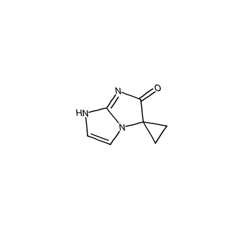 O=C1N=C2NC=CN2C12CC2